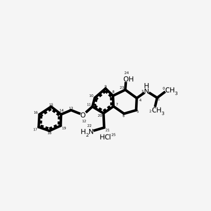 CC(C)NC1CCc2c(ccc(OCc3ccccc3)c2CN)C1O.Cl